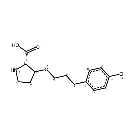 O=C(O)[C@H]1NCCC1OCCCc1ccc(Cl)cc1